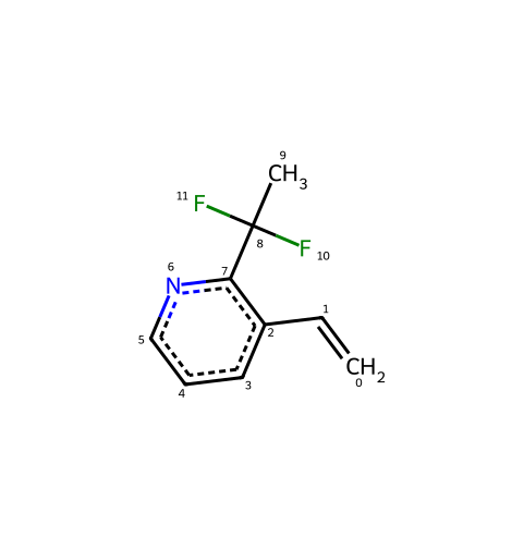 C=Cc1cccnc1C(C)(F)F